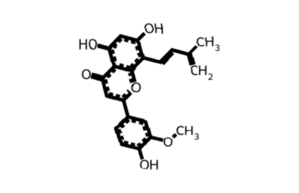 C=C(C)C=Cc1c(O)cc(O)c2c(=O)cc(-c3ccc(O)c(OC)c3)oc12